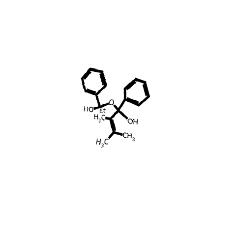 CCC(O)(OC(O)(C(C)=C(C)C)c1ccccc1)c1ccccc1